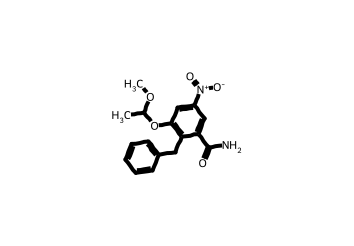 COC(C)Oc1cc([N+](=O)[O-])cc(C(N)=O)c1Cc1ccccc1